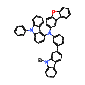 CCn1c2ccccc2c2ccc(-c3cccc(N(c4ccc5oc6ccccc6c5c4)c4cccc5c4c4ccccc4n5-c4ccccc4)c3)cc21